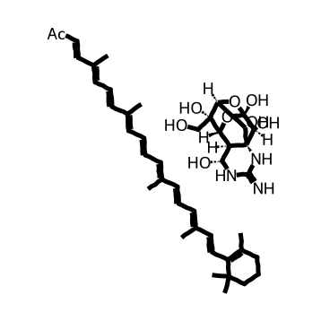 CC(=O)/C=C/C(C)=C/C=C/C(C)=C/C=C/C=C(C)/C=C/C=C(C)/C=C/C1=C(C)CCCC1(C)C.N=C1N[C@H](O)[C@H]2[C@H]3O[C@]4(O)O[C@@H](C(O)[C@@]2(N1)[C@@H]4O)[C@]3(O)CO